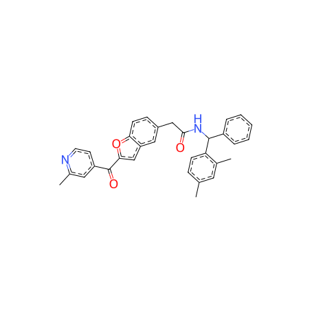 Cc1ccc(C(NC(=O)Cc2ccc3oc(C(=O)c4ccnc(C)c4)cc3c2)c2ccccc2)c(C)c1